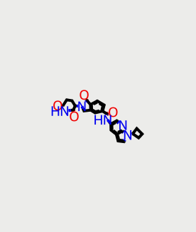 O=C1CCC(N2Cc3cc(C(=O)Nc4cnc5c(ccn5C5CCC5)c4)ccc3C2=O)C(=O)N1